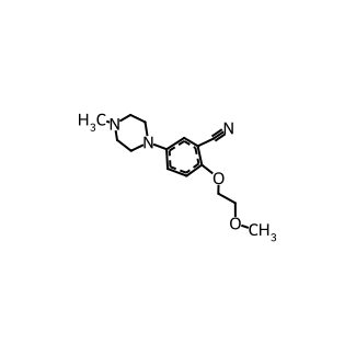 COCCOc1ccc(N2CCN(C)CC2)cc1C#N